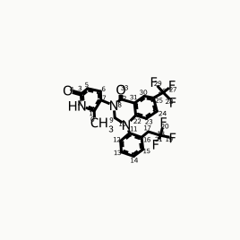 Cc1[nH]c(=O)ccc1N1CN(c2ccccc2CC(F)(F)F)c2ccc(C(F)(F)F)cc2C1=O